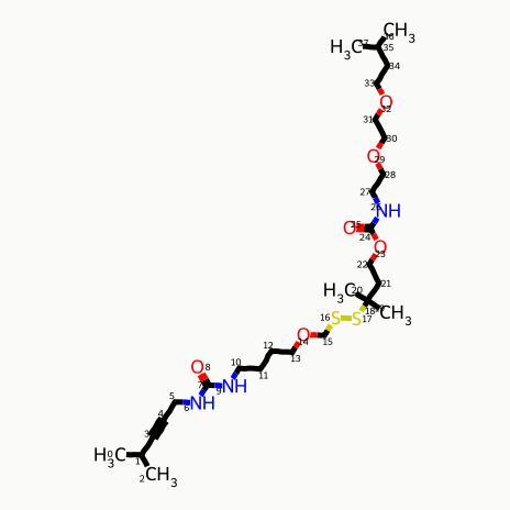 CC(C)C#CCNC(=O)NCCCCOCSSC(C)(C)CCOC(=O)NCCOCCOCCC(C)C